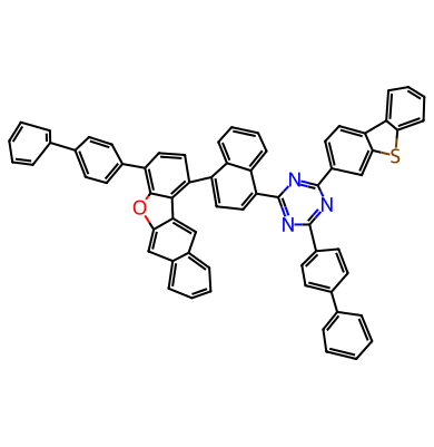 c1ccc(-c2ccc(-c3nc(-c4ccc5c(c4)sc4ccccc45)nc(-c4ccc(-c5ccc(-c6ccc(-c7ccccc7)cc6)c6oc7cc8ccccc8cc7c56)c5ccccc45)n3)cc2)cc1